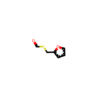 O=[C]SCc1ccco1